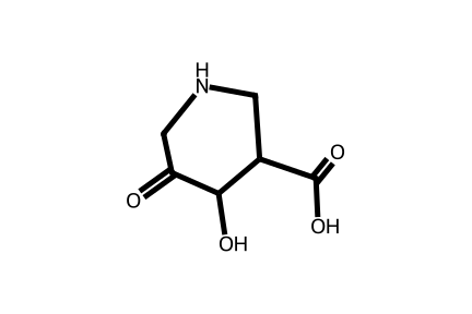 O=C1CNCC(C(=O)O)C1O